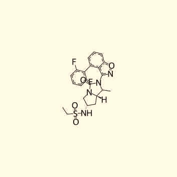 CCS(=O)(=O)N[C@H]1C[C@H]2C(C)N(c3noc4cccc(-c5c(F)cccc5F)c34)C(=O)N2C1